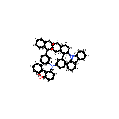 c1cc(-c2cccc3ccccc23)cc(N(c2cccc(-c3c(-n4c5ccccc5c5ccccc54)ccc4ccccc34)c2)c2cccc3oc4ccccc4c23)c1